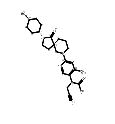 C#CCN(C(=O)O)c1cnc(N2CCC[C@]3(CCN([C@H]4CC[C@H](O)CC4)C3=O)C2)cc1C